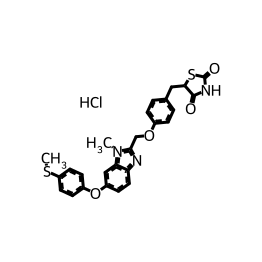 CSc1ccc(Oc2ccc3nc(COc4ccc(CC5SC(=O)NC5=O)cc4)n(C)c3c2)cc1.Cl